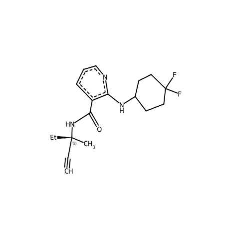 C#C[C@](C)(CC)NC(=O)c1cccnc1NC1CCC(F)(F)CC1